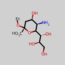 CCO[C@]1(C(=O)O)C[C@@H](O)[C@@H](N)C([C@H](O)[C@H](O)CO)O1